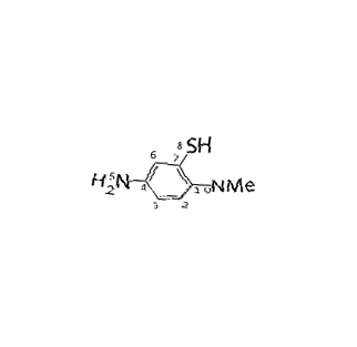 CNc1ccc(N)cc1S